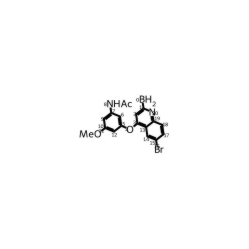 Bc1cc(Oc2cc(NC(C)=O)cc(OC)c2)c2cc(Br)ccc2n1